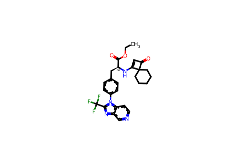 CCOC(=O)[C@H](Cc1ccc(-n2c(C(F)(F)F)nc3cnccc32)cc1)NC1=CC(=O)C12CCCCC2